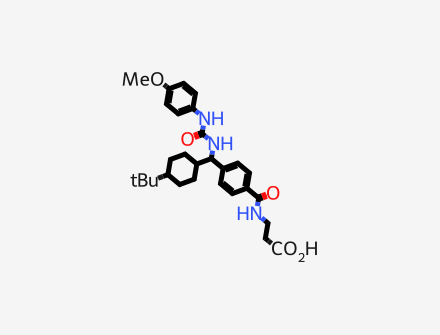 COc1ccc(NC(=O)NC(c2ccc(C(=O)NCCC(=O)O)cc2)C2CCC(C(C)(C)C)CC2)cc1